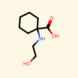 O=C(O)C1(NCCO)CCCCC1